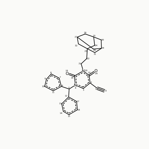 C#Cc1cn(C(c2ccccc2)c2ccccc2)c(=O)n(CCC23CC4CC(CC(C4)C2)C3)c1=O